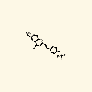 COc1ccc2oc(/C=C/c3ccc(OC(F)(F)F)cc3)cc(=O)c2c1